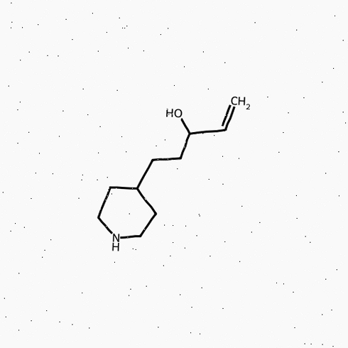 C=CC(O)CCC1CCNCC1